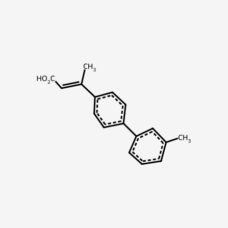 CC(=CC(=O)O)c1ccc(-c2cccc(C)c2)cc1